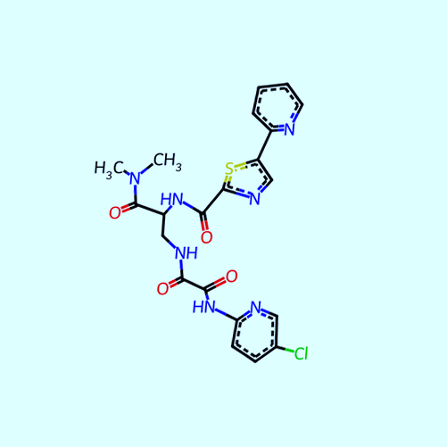 CN(C)C(=O)C(CNC(=O)C(=O)Nc1ccc(Cl)cn1)NC(=O)c1ncc(-c2ccccn2)s1